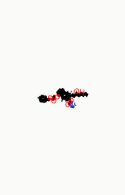 CCCCC[C@H](O)CC[C@@H]1[C@H]2Cc3cccc(OCC(=O)OCc4ccccc4)c3C[C@H]2C[C@H]1OC(=O)N(C)C